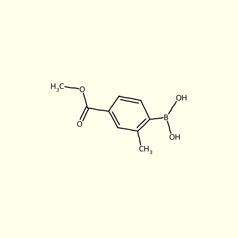 COC(=O)c1ccc(B(O)O)c(C)c1